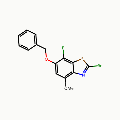 COc1cc(OCc2ccccc2)c(F)c2sc(Br)nc12